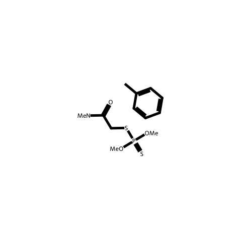 CNC(=O)CSP(=S)(OC)OC.Cc1ccccc1